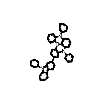 c1ccc(N2c3ccccc3B3c4ccc(-c5ccc6c7ccccc7n(-c7ccccc7)c6c5)cc4N(c4ccccc4)c4cccc2c43)cc1